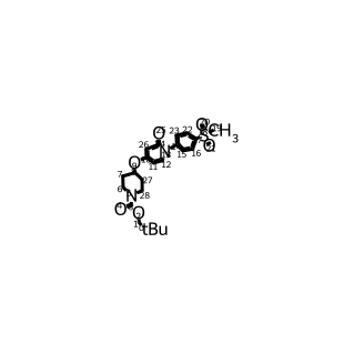 CC(C)(C)COC(=O)N1CCC(Oc2ccn(-c3ccc(S(C)(=O)=O)cc3)c(=O)c2)CC1